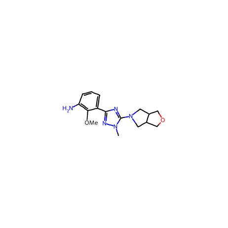 COc1c(N)cccc1-c1nc(N2CC3COCC3C2)n(C)n1